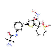 CC(C)(N)C(=O)Nc1cccc(-c2ccc([C@@]3(CC(=O)NO)CCCCS3(=O)=O)s2)c1